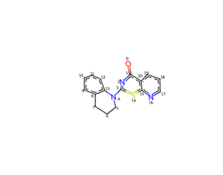 O=c1nc(N2CCCc3ccccc32)sc2ncccc12